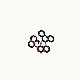 c1ccc(-c2ccccc2N(c2ccccc2)c2c(-c3cccc4ccccc34)c3ccccc3c3ccccc23)cc1